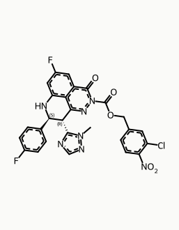 Cn1ncnc1[C@H]1c2nn(C(=O)OCc3ccc([N+](=O)[O-])c(Cl)c3)c(=O)c3cc(F)cc(c23)N[C@@H]1c1ccc(F)cc1